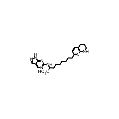 O=C(O)C(CCCCCCCc1ccc2c(n1)NCCC2)Nc1ncc2cn[nH]c2n1